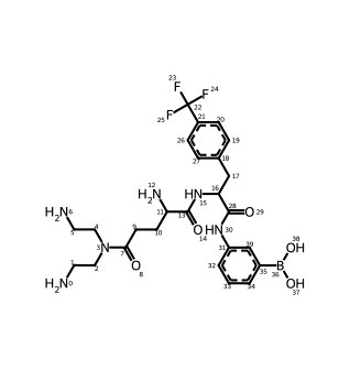 NCCN(CCN)C(=O)CCC(N)C(=O)NC(Cc1ccc(C(F)(F)F)cc1)C(=O)Nc1cccc(B(O)O)c1